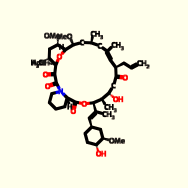 C=CC[C@@H]1/C=C(\C)C[C@H](C)C[C@H](OC)[C@H]2O[C@@](NC(C)=O)(C(=O)C(=O)N3CCCC[C@H]3C(=O)O[C@H](/C(C)=C/[C@@H]3CC[C@@H](O)[C@H](OC)C3)[C@H](C)[C@@H](O)CC1=O)[C@H](C)C[C@@H]2OC